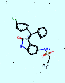 CCS(=O)(=O)Nc1ccc2c(c1)/C(=C(\c1ccccc1)c1ccc(Cl)cc1)C(=O)N2